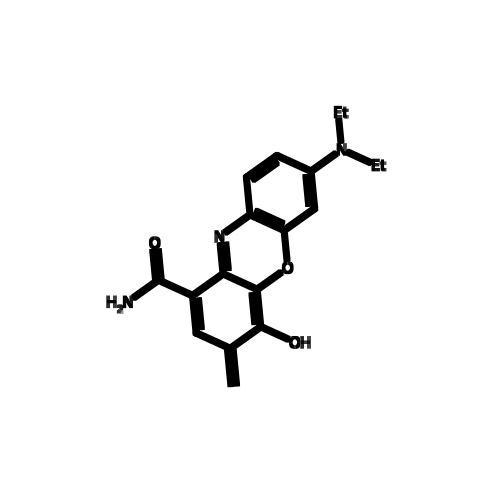 C=c1cc(C(N)=O)c2c(c1O)Oc1cc(N(CC)CC)ccc1N=2